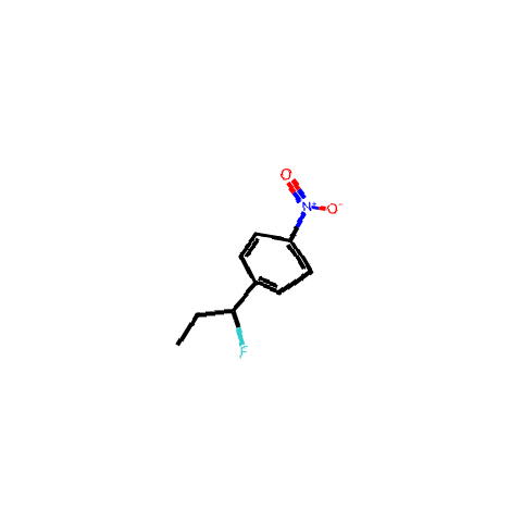 CCC(F)c1ccc([N+](=O)[O-])cc1